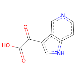 O=C(O)C(=O)c1c[nH]c2ccncc12